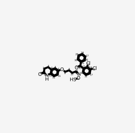 O=C1CCc2cc(OCCCC=[N+](OS)c3ccc(Cl)c(Cl)c3C(=O)c3ccccc3)ccc2N1